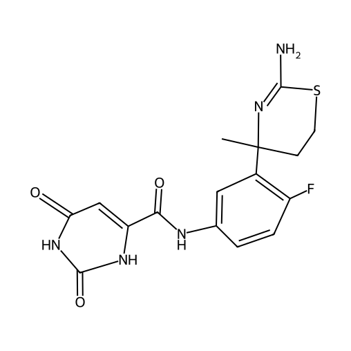 CC1(c2cc(NC(=O)c3cc(=O)[nH]c(=O)[nH]3)ccc2F)CCSC(N)=N1